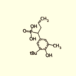 C=CCC(c1cc(C)c(O)c(C(C)(C)C)c1)P(=O)(O)O